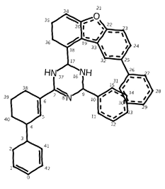 C1=CCC(C2C=C(C3=NC(c4ccccc4)NC(C4=c5c(oc6ccc(-c7ccccc7)cc56)=CCC4)N3)CCC2)C=C1